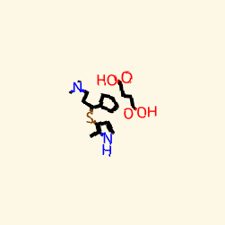 Cc1[nH]ccc1SC(CCN(C)C)C1CCCC1.O=C(O)CCC(=O)O